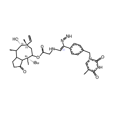 C=C[C@]1(C)CC(OC(=O)CN/C=C(\N=N)c2ccc(Cn3cc(C)c(=O)[nH]c3=O)cc2)[C@](C)(C(C)CC)C2C(=O)CCC2C(C)[C@@H]1O